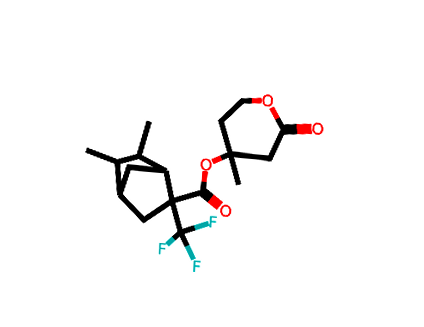 CC1C2CC(C1C)C(C(=O)OC1(C)CCOC(=O)C1)(C(F)(F)F)C2